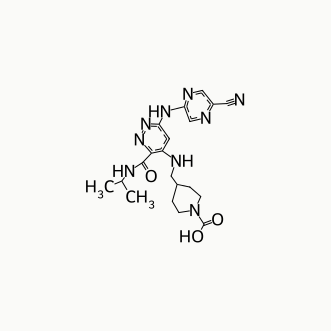 CC(C)NC(=O)c1nnc(Nc2cnc(C#N)cn2)cc1NCC1CCN(C(=O)O)CC1